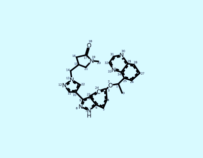 CC(Oc1ccc2[nH]nc(-c3cnn(CC4CC(=O)N(C)C4)c3)c2c1)c1cccc2nccnc12